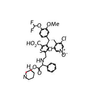 COc1cc([C@H](Cc2c(Cl)c[n+]([O-])cc2Cl)c2cc(CNC(C(=O)O[C@H]3CN4CCC3CC4)c3ccccc3)sc2C(=O)O)ccc1OC(F)F